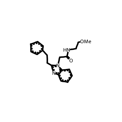 COCCNC(=O)Cn1c(CCc2ccccc2)nc2ccccc21